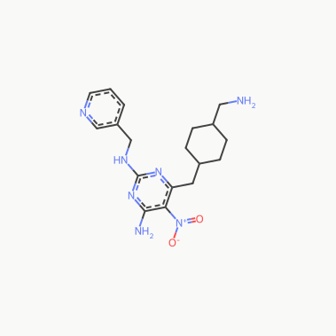 NCC1CCC(Cc2nc(NCc3cccnc3)nc(N)c2[N+](=O)[O-])CC1